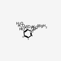 O.O.O.O=S(=O)(O)O.[MgH2].[O-][n+]1ccccc1